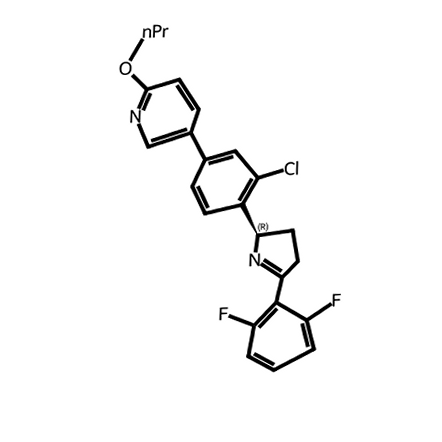 CCCOc1ccc(-c2ccc([C@H]3CCC(c4c(F)cccc4F)=N3)c(Cl)c2)cn1